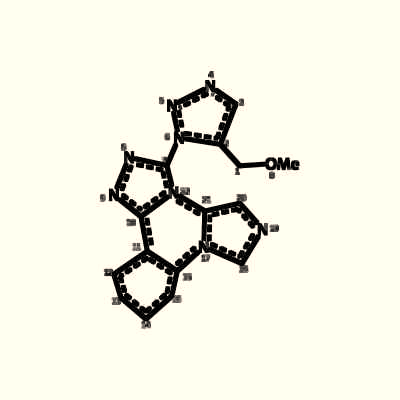 COCc1cnnn1-c1nnc2c3ccccc3n3cncc3n12